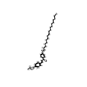 CCCCCCCCCCCCCCCCCCCSc1ccc(C(=O)C=Cc2ccc(OCC)cc2)cc1